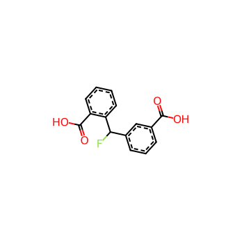 O=C(O)c1cccc(C(F)c2ccccc2C(=O)O)c1